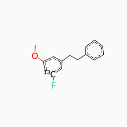 COc1cc(CCc2ccccc2)c[13c](F)c1